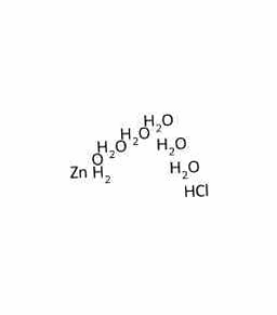 Cl.O.O.O.O.O.O.[Zn]